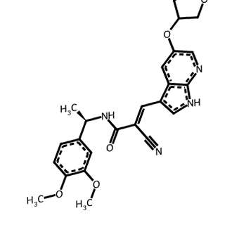 COc1ccc([C@@H](C)NC(=O)/C(C#N)=C/c2c[nH]c3ncc(OC4CCOC4)cc23)cc1OC